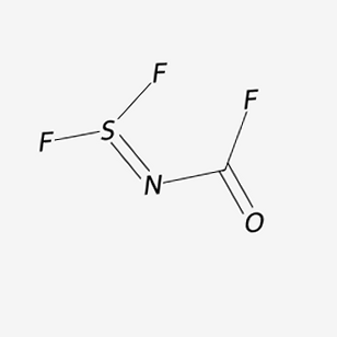 O=C(F)N=S(F)F